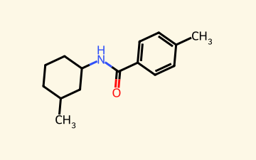 Cc1ccc(C(=O)NC2CCCC(C)C2)cc1